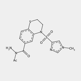 CC(=O)N(N)C(=O)c1ccc2c(c1)N(S(=O)(=O)c1cn(C)cn1)CCS2